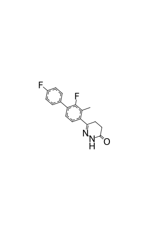 Cc1c(C2=NNC(=O)CC2)ccc(-c2ccc(F)cc2)c1F